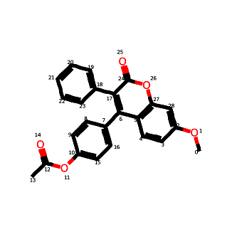 COc1ccc2c(-c3ccc(OC(C)=O)cc3)c(-c3ccccc3)c(=O)oc2c1